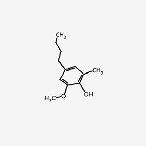 CCCCc1cc(C)c(O)c(OC)c1